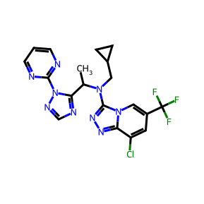 CC(c1ncnn1-c1ncccn1)N(CC1CC1)c1nnc2c(Cl)cc(C(F)(F)F)cn12